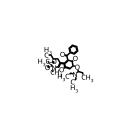 CCCCc1c(N(C)S(C)(=O)=O)oc2c1=C(C(=O)c1ccccc1)C(=O)C(OC(CC)N(CC)CC)C=2